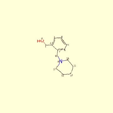 OCc1ccccc1CN1CCCCC1